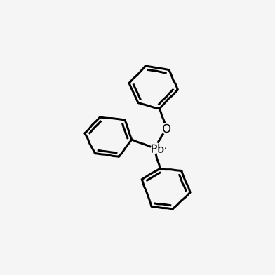 c1ccc([O][Pb]([c]2ccccc2)[c]2ccccc2)cc1